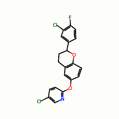 Fc1ccc(C2CCc3cc(Oc4ccc(Cl)cn4)ccc3O2)cc1Cl